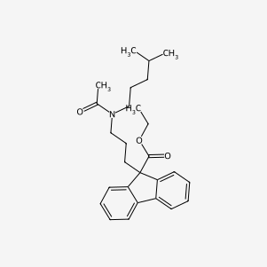 CCOC(=O)C1(CCCN(CCCC(C)C)C(C)=O)c2ccccc2-c2ccccc21